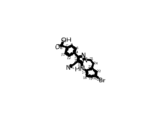 N#Cc1c(-c2ccc(C(=O)O)cc2)nn2c1Nc1ccc(Br)cc1CC2